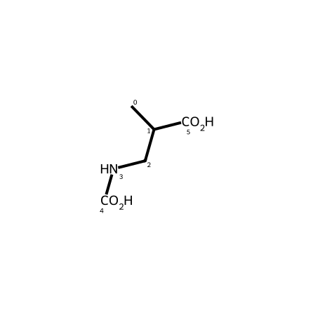 CC(CNC(=O)O)C(=O)O